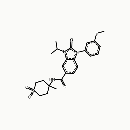 CSc1cccc(-n2c(=O)n(C(C)C)c3cc(C(=O)NC4(C)CCS(=O)(=O)CC4)ccc32)c1